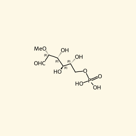 CO[C@@H](C=O)[C@H](O)[C@H](O)[C@H](O)COP(=O)(O)O